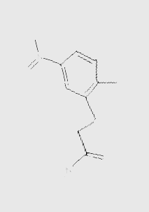 NC(=O)CCc1cc([N+](=O)[O-])ccc1Cl